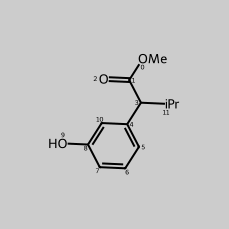 COC(=O)C(c1cccc(O)c1)C(C)C